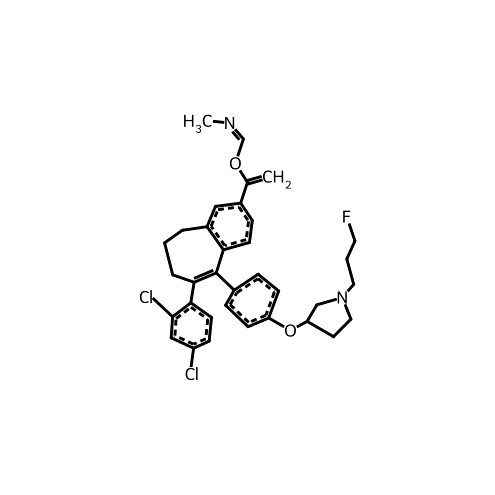 C=C(O/C=N\C)c1ccc2c(c1)CCCC(c1ccc(Cl)cc1Cl)=C2c1ccc(OC2CCN(CCCF)C2)cc1